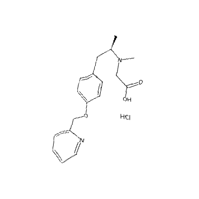 C[C@H](Cc1ccc(OCc2ccccn2)cc1)N(C)CC(=O)O.Cl